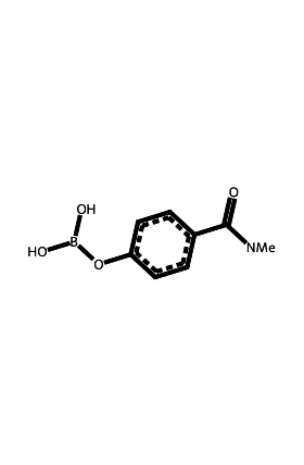 CNC(=O)c1ccc(OB(O)O)cc1